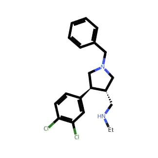 CCNC[C@H]1CN(Cc2ccccc2)C[C@@H]1c1ccc(Cl)c(Cl)c1